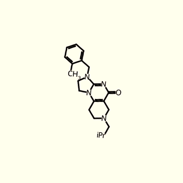 Cc1ccccc1CN1CCn2c1nc(=O)c1c2CCN(CC(C)C)C1